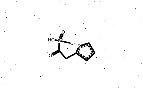 O=C(Cc1cccs1)P(=O)(O)O